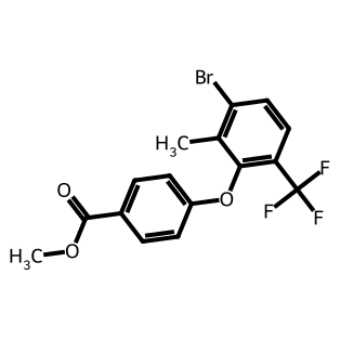 COC(=O)c1ccc(Oc2c(C(F)(F)F)ccc(Br)c2C)cc1